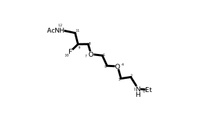 CCNCCOCCOCC(F)CNC(C)=O